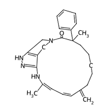 C=C1/C=C\C=C(/C)Nc2n[nH]c3c2CN(C3)C(=O)C(C)(c2ccccc2)CCCCC1